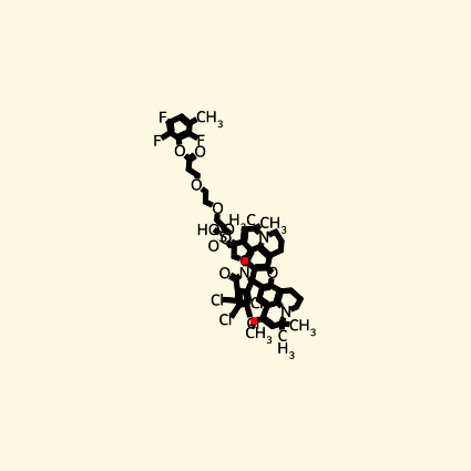 CCC1=CC(C)(C)N2CCCc3c4c(cc1c32)C1(c2cc3c5c(c2O4)CCCN5C(C)(C)C=C3CS(=O)(=O)O)c2c(Cl)c(Cl)c(Cl)c(Cl)c2C(=O)N1OCCOCCOCCOCCC(=O)Oc1c(F)c(C)cc(F)c1F